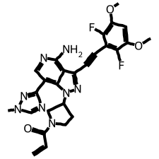 C=CC(=O)N1CCC(n2nc(C#Cc3c(F)c(OC)cc(OC)c3F)c3c(N)ncc(-c4ncn(C)n4)c32)C1